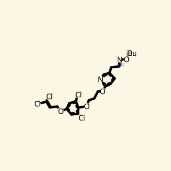 CCC(C)O/N=C/Cc1ccc(OCCCOc2c(Cl)cc(OCC=C(Cl)Cl)cc2Cl)nc1